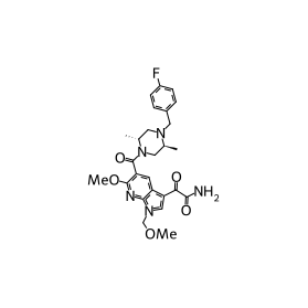 COCn1cc(C(=O)C(N)=O)c2cc(C(=O)N3C[C@H](C)N(Cc4ccc(F)cc4)C[C@H]3C)c(OC)nc21